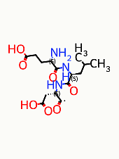 CC(C)C[C@H](NC(=O)[C@@H](N)CCC(=O)O)C(=O)N[C@H]([C]=O)CC(=O)O